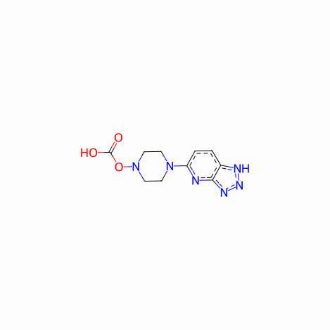 O=C(O)ON1CCN(c2ccc3[nH]nnc3n2)CC1